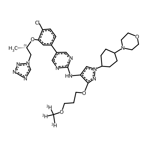 [2H]C([2H])([2H])OCCCOc1nn(C2CCC(N3CCOCC3)CC2)cc1Nc1ncc(-c2ccc(Cl)c(O[C@@H](C)Cn3cnnn3)c2)cn1